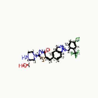 O=C1N=C(N2CCN[C@@H](CO)C2)SC1=Cc1ccc2c(cnn2Cc2ccc(Cl)cc2C(F)(F)F)c1